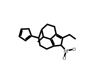 CCC1=C2CCC3C(C)C2=C(CCC3C2=CC=CC2)[CH]1[Hf]([Cl])[Cl]